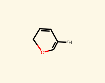 [2H]C1=COCC=C1